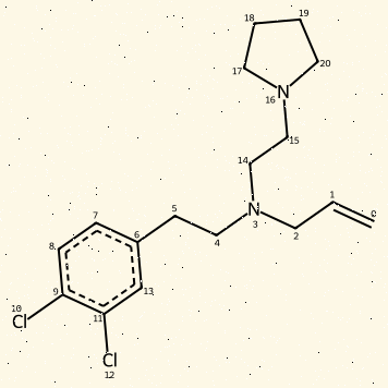 C=CCN(CCc1ccc(Cl)c(Cl)c1)CCN1CCCC1